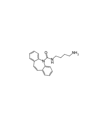 NCCCCNC(=O)N1c2ccccc2C=Cc2ccccc21